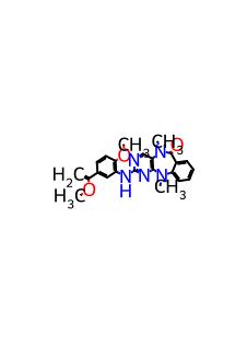 C=C(OC)c1ccc(OC)c(Nc2ncc3c(n2)N(C)c2ccccc2C(=O)N3C)c1